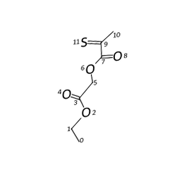 CCOC(=O)COC(=O)C(C)=S